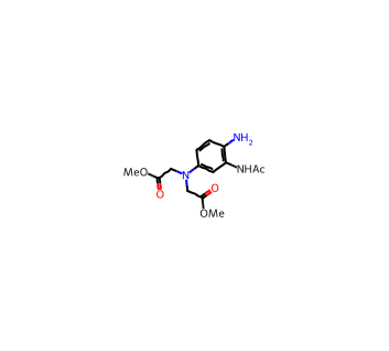 COC(=O)CN(CC(=O)OC)c1ccc(N)c(NC(C)=O)c1